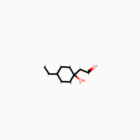 CCC1CCC(O)(C[C]=O)CC1